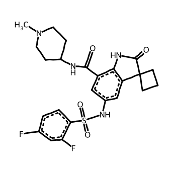 CN1CCC(NC(=O)c2cc(NS(=O)(=O)c3ccc(F)cc3F)cc3c2NC(=O)C32CCC2)CC1